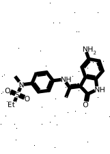 CCS(=O)(=O)N(C)c1ccc(NC(C)=C2C(=O)Nc3ccc(N)cc32)cc1